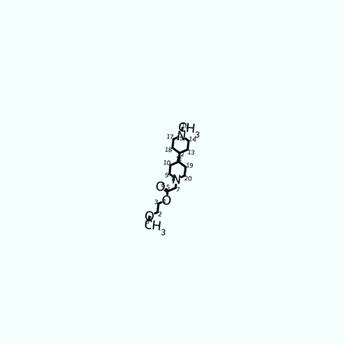 COCCOC(=O)CN1CCC(C2CCN(C)CC2)CC1